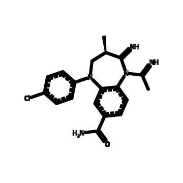 CC(=N)N1C(=N)[C@H](C)CN(c2ccc(Cl)cc2)c2cc(C(N)=O)ccc21